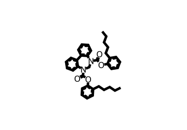 CCCCCc1ccccc1OC(=O)N1CN(C(=O)Oc2ccccc2CCCCC)c2ccccc2-c2ccccc21